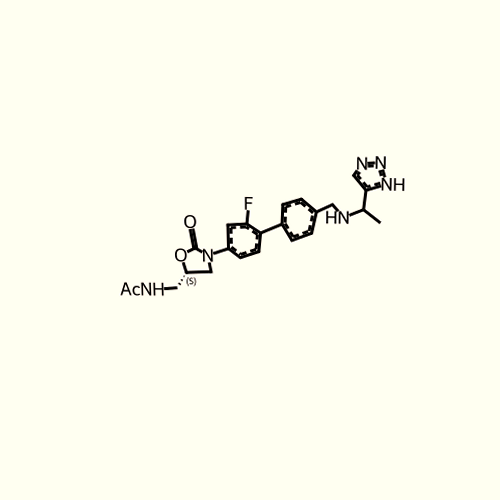 CC(=O)NC[C@H]1CN(c2ccc(-c3ccc(CNC(C)c4cnn[nH]4)cc3)c(F)c2)C(=O)O1